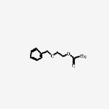 CC(C)(C)C(=O)OCCOCc1ccccc1